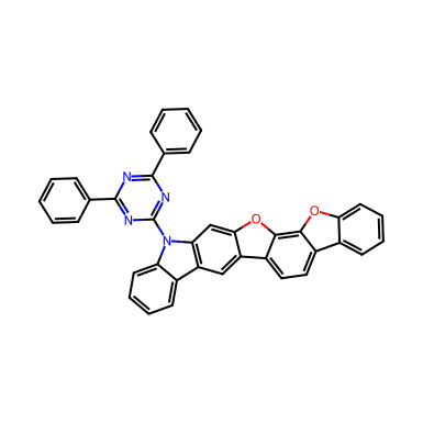 c1ccc(-c2nc(-c3ccccc3)nc(-n3c4ccccc4c4cc5c(cc43)oc3c5ccc4c5ccccc5oc43)n2)cc1